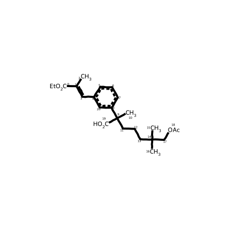 CCOC(=O)/C(C)=C/c1cccc(C(C)(CCCC(C)(C)COC(C)=O)C(=O)O)c1